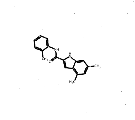 Cc1cc(C)c2cc(C(=O)Nc3ccccc3C)[nH]c2c1